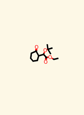 CCOC(=O)C(OC(C)(C)C)C1CCCCC1=O